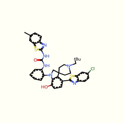 Cc1ccc2nc(NC(=O)Nc3ccccc3N3CC4(CCN(CC(C)(C)C)CC4)c4c(-c5nc6ccc(Cl)cc6s5)ccc(O)c43)sc2c1